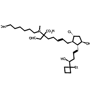 CCCCCCCCCCCCCCCCN(C)C(CC=O)(CCC=CC[C@@H]1[C@@H](C=CC[C@H](O)C2(CC)CCC2)[C@H](O)C[C@H]1Cl)C(=O)O